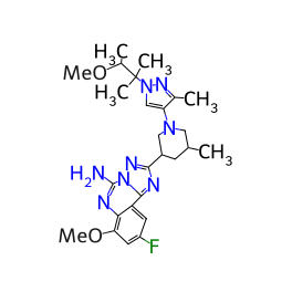 COc1cc(F)cc2c1nc(N)n1nc(C3CC(C)CN(c4cn(C(C)(C)C(C)OC)nc4C)C3)nc21